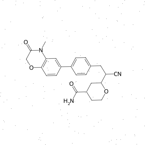 CN1C(=O)COc2ccc(-c3ccc(CC(C#N)C4CC(C(N)=O)CCO4)cc3)cc21